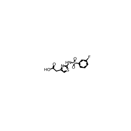 O=C(O)Cc1csc(NS(=O)(=O)c2cccc(F)c2)n1